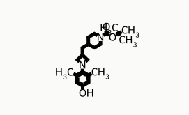 Cc1cc(O)cc(C)c1N1CC(CC2CCN(C(=O)OC(C)(C)C)CC2)C1